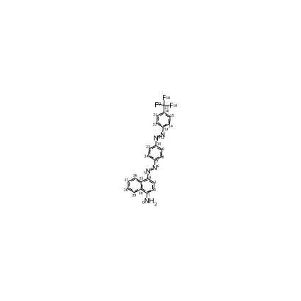 Nc1ccc(/N=N/c2ccc(/N=N/c3ccc(C(F)(F)F)cc3)cc2)c2ccccc12